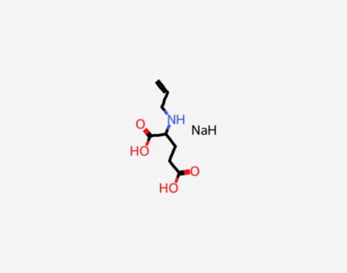 C=CCNC(CCC(=O)O)C(=O)O.[NaH]